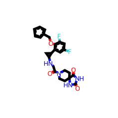 O=C1NC(=O)C2(CCN(C(=O)CNC3CC3c3cc(F)cc(F)c3OCc3ccccc3)CC2)N1